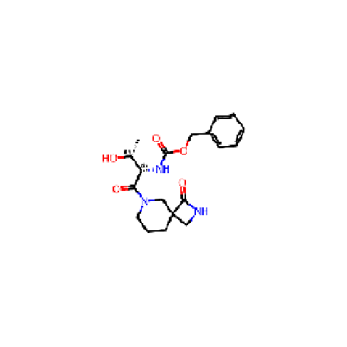 C[C@@H](O)[C@H](NC(=O)OCc1ccccc1)C(=O)N1CCCC2(CNC2=O)C1